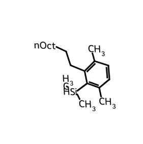 CCCCCCCCCCc1c(C)ccc(C)c1[SiH](C)C